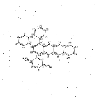 O=C1C=CC(=O)C=C1.c1ccc(-c2ccc3cc4cc5ccccc5cc4cc3c2-c2ccccc2)cc1